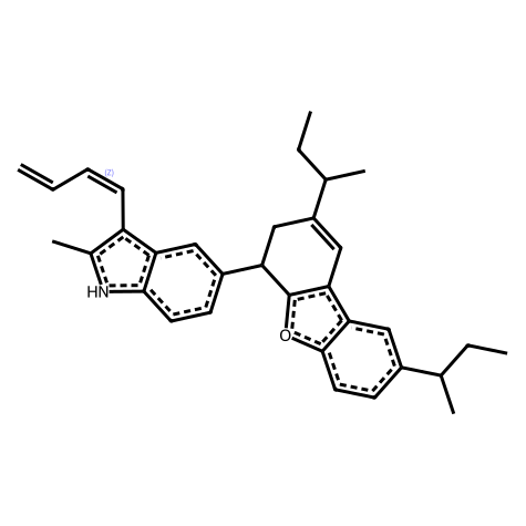 C=C/C=C\c1c(C)[nH]c2ccc(C3CC(C(C)CC)=Cc4c3oc3ccc(C(C)CC)cc43)cc12